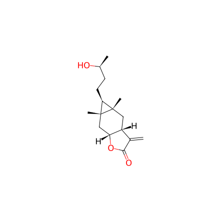 C=C1C(=O)O[C@@H]2C[C@]3(C)[C@@H](CC[C@H](C)O)[C@]3(C)C[C@H]12